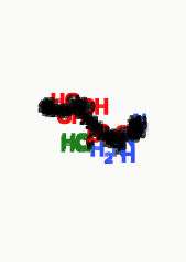 Cl.Cl.NCC(C(=O)Nc1ccc2cnccc2c1)c1ccc(COC(=O)CCCC=CC[C@@H]2[C@@H](CCC(O)CCc3ccccc3)[C@H](O)C[C@@H]2O)cc1